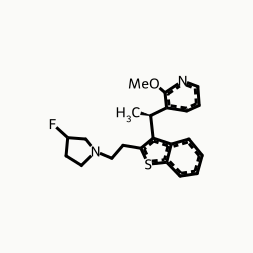 COc1ncccc1[C@H](C)c1c(CCN2CCC(F)C2)sc2ccccc12